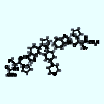 COC(=O)N[C@H](C(=O)N1CCC[C@H]1c1nc2cc([C@H]3CC[C@H](c4ccc5[nH]c([C@@H]6CCCN6C(=O)[C@@H](NC(=O)O)C(C)C)nc5c4)N3c3ccc(N4CCOCC4)cc3)ccc2[nH]1)C(C)C